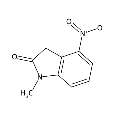 CN1C(=O)Cc2c1cccc2[N+](=O)[O-]